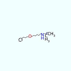 C/C=C(\C)CNCCCCCCOCCCCc1ccccc1